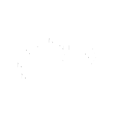 Cn1cncc1-c1cc2cc(NC(=O)C3CCN(S(C)(=O)=O)CC3)ncc2cn1